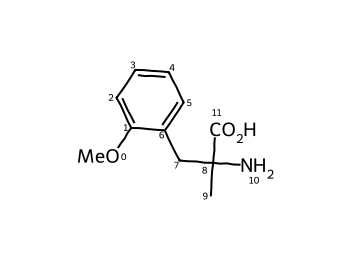 COc1ccccc1CC(C)(N)C(=O)O